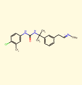 CO/N=C/Cc1cccc(C(C)(C)NC(=O)Nc2ccc(Cl)c(C(F)(F)F)c2)c1